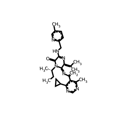 C=C(/N=C1\C(=C(C)C)N=C(NCc2ccc(C)cn2)C(=O)N1[C@@H](C)CC)c1c(C)ncnc1C1CC1